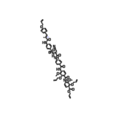 C=CCOC(=O)c1ccc(NC(=O)c2ccc(NC(=O)c3ccc(NC(=O)[C@H](CC#N)NS(=O)(=O)c4ccc(NC(=O)/C(C)=C/c5ccc(OCC=C)cc5)cc4)cc3)c(OC)c2OCC=C)c(OC)c1OCC=C